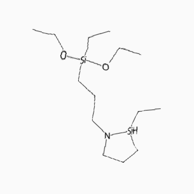 CCO[Si](CC)(CCCN1CCC[SiH]1CC)OCC